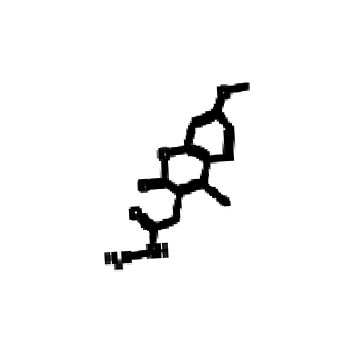 COc1ccc2c(C)c(CC(=O)NN)c(=O)oc2c1